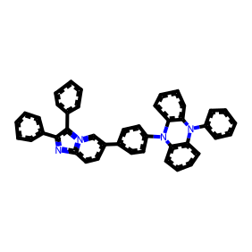 c1ccc(-c2nc3ccc(-c4ccc(N5c6ccccc6N(c6ccccc6)c6ccccc65)cc4)cn3c2-c2ccccc2)cc1